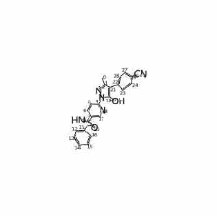 Cc1nn(-c2ccc(S(=N)(=O)c3ccccc3)cn2)c(O)c1-c1ccc(C#N)cc1